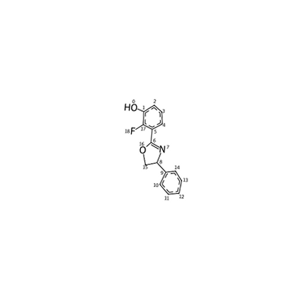 Oc1cccc(C2=NC(c3ccccc3)CO2)c1F